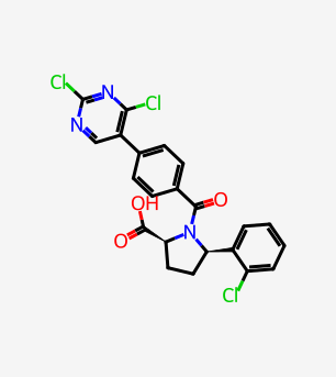 O=C(O)[C@@H]1CC[C@H](c2ccccc2Cl)N1C(=O)c1ccc(-c2cnc(Cl)nc2Cl)cc1